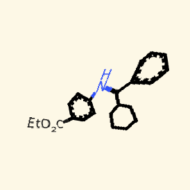 CCOC(=O)c1ccc(NC(c2ccccc2)C2CCCCC2)cc1